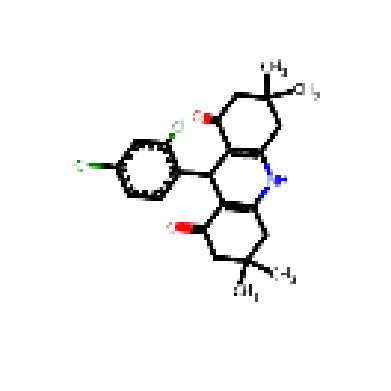 CC1(C)CC(=O)C2=C(C1)NC1=C(C(=O)CC(C)(C)C1)C2c1ccc(Cl)cc1Cl